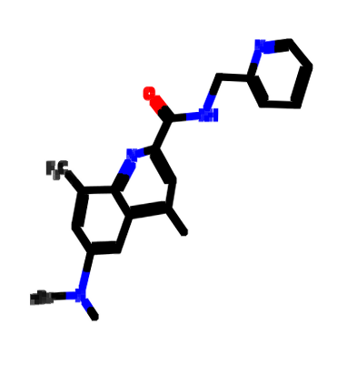 CCCCN(C)c1cc(C(F)(F)F)c2nc(C(=O)NCc3ccccn3)cc(C)c2c1